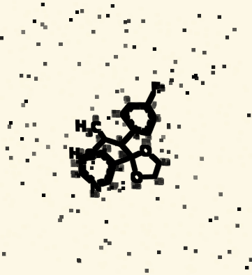 CC(C)C(c1ccc(F)cc1)C1(c2cccnc2)OCCO1